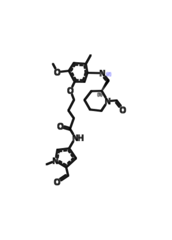 COc1cc(C)c(/N=C\[C@@H]2CCCCN2C=O)cc1OCCCC(=O)Nc1cc(C=O)n(C)c1